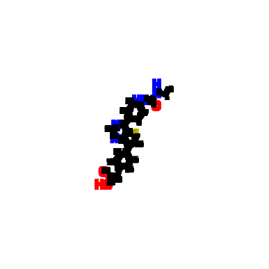 CCNC(=O)Nc1ccc(-c2ncnc3c(-c4ccc(CC(=O)O)cc4)csc23)cc1